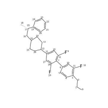 CCCc1ccc(-c2c(F)cc(C3CCC(C[C@H](C)c4ccccc4)CC3)cc2F)cc1F